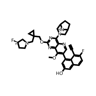 C#Cc1c(F)ccc2cc(O)cc(-c3cnc4c(N5CC6CCC(C5)N6)nc(OCC5(CN6CC[C@@H](F)C6)CC5)nc4c3OC)c12